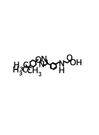 CC(C)(C)C1CCC(Oc2ncc(-c3cccc(CNCCC(=O)O)c3)cn2)CC1